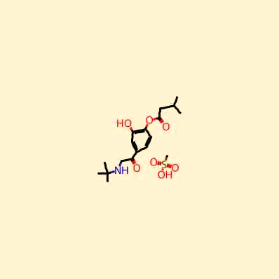 CC(C)CC(=O)Oc1ccc(C(=O)CNC(C)(C)C)cc1O.CS(=O)(=O)O